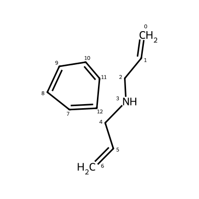 C=CCNCC=C.c1ccccc1